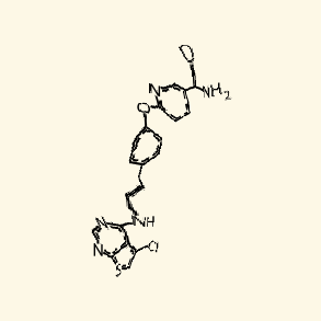 NC(=O)c1ccc(Oc2ccc(CCNc3ncnc4scc(Cl)c34)cc2)nc1